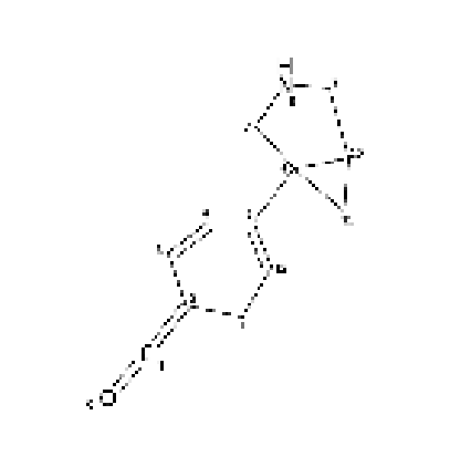 O=C=C1C=CC(C23CNCC2C3)=CC1